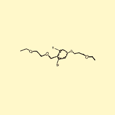 CCOCCOCc1c(F)cc(OCCOCC)cc1Br